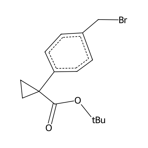 CC(C)(C)OC(=O)C1(c2ccc(CBr)cc2)CC1